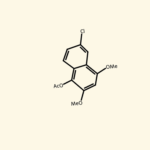 COc1cc(OC)c2cc(Cl)ccc2c1OC(C)=O